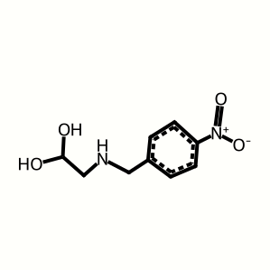 O=[N+]([O-])c1ccc(CNCC(O)O)cc1